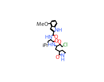 COc1cccc2[nH]c(C(=O)NC(CC(C)C)C(=O)NC(CC3CCNC3=O)C(=O)CCl)cc12